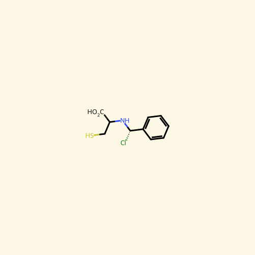 O=C(O)C(CS)N[C@@H](Cl)c1ccccc1